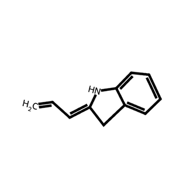 C=CC=C1Cc2ccccc2N1